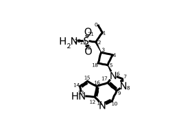 CCC([C@H]1C[C@@H](n2cnc3cnc4[nH]ccc4c32)C1)S(N)(=O)=O